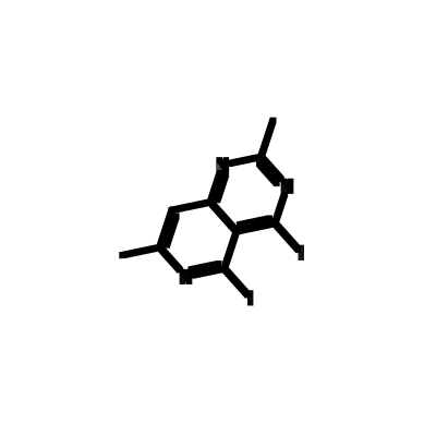 Cc1cc2nc(C)nc(I)c2c(I)n1